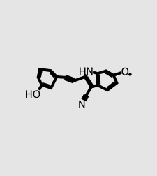 COc1ccc2c(C#N)c(C#Cc3cccc(O)c3)[nH]c2c1